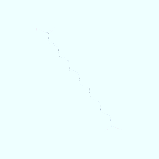 O=C(O)C=CC=CC=CCCCCCCC(=O)O